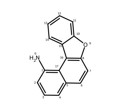 Nc1cccc2ccc3oc4ccccc4c3c12